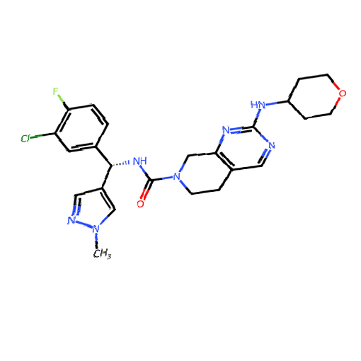 Cn1cc([C@@H](NC(=O)N2CCc3cnc(NC4CCOCC4)nc3C2)c2ccc(F)c(Cl)c2)cn1